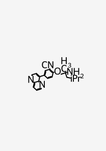 CC(C)CC(C)(N)COc1ccc(-c2ccnc3cccnc23)cc1C#N